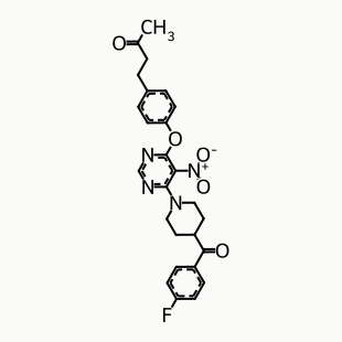 CC(=O)CCc1ccc(Oc2ncnc(N3CCC(C(=O)c4ccc(F)cc4)CC3)c2[N+](=O)[O-])cc1